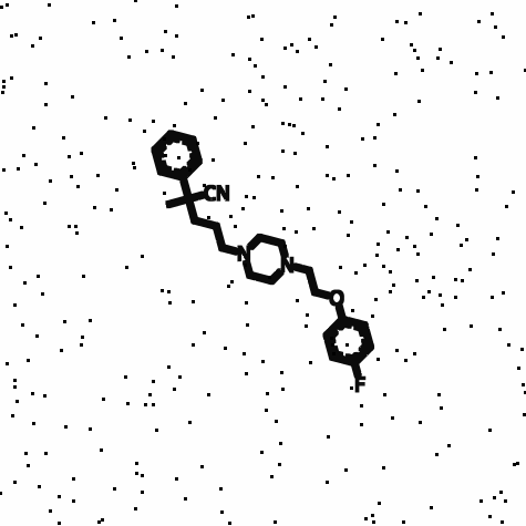 CC(C#N)(CCCN1CCN(CCOc2ccc(F)cc2)CC1)c1ccccc1